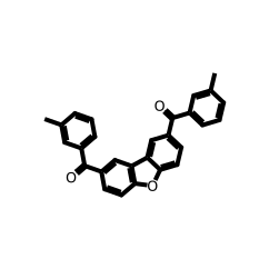 Cc1cccc(C(=O)c2ccc3oc4ccc(C(=O)c5cccc(C)c5)cc4c3c2)c1